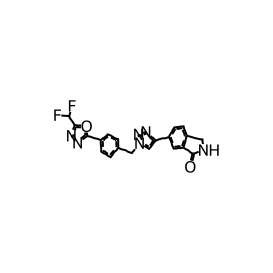 O=C1NCc2ccc(-c3cn(Cc4ccc(-c5nnc(C(F)F)o5)cc4)nn3)cc21